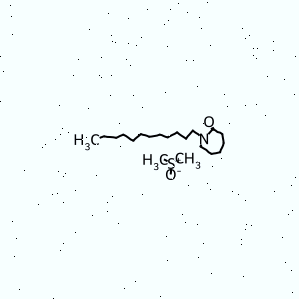 CCCCCCCCCCCCN1CCCCCC1=O.C[S+](C)[O-]